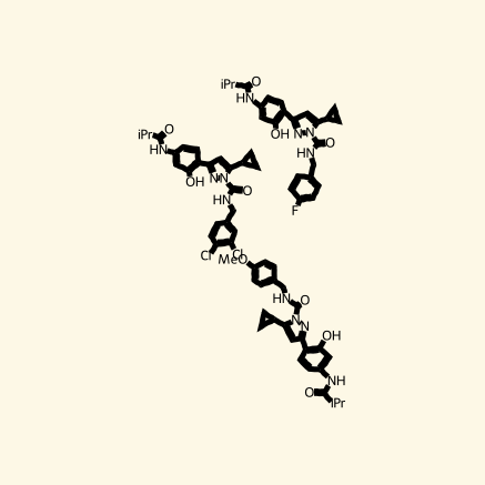 CC(C)C(=O)Nc1ccc(-c2cc(C3CC3)n(C(=O)NCc3ccc(Cl)c(Cl)c3)n2)c(O)c1.CC(C)C(=O)Nc1ccc(-c2cc(C3CC3)n(C(=O)NCc3ccc(F)cc3)n2)c(O)c1.COc1ccc(CNC(=O)n2nc(-c3ccc(NC(=O)C(C)C)cc3O)cc2C2CC2)cc1